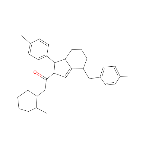 Cc1ccc(CC2CCCC3C2=CC(C(=O)CC2CCCCC2C)C3c2ccc(C)cc2)cc1